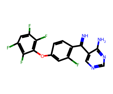 N=C(c1ccc(Oc2c(F)c(F)cc(F)c2F)cc1F)c1cncnc1N